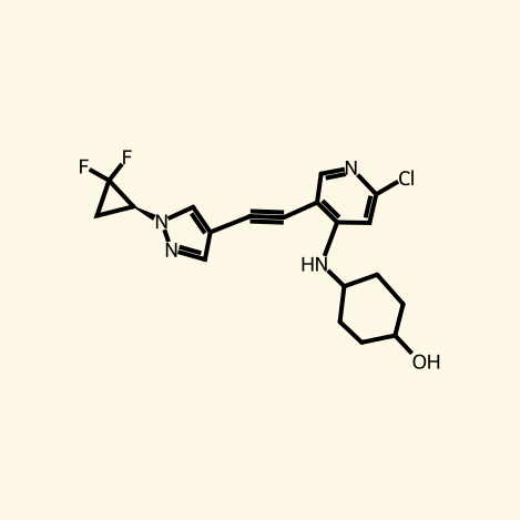 OC1CCC(Nc2cc(Cl)ncc2C#Cc2cnn([C@H]3CC3(F)F)c2)CC1